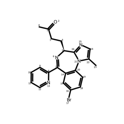 CC(=O)CC[C@@H]1N=C(c2ccccn2)c2cc(Br)ccc2-n2c(C)cnc21